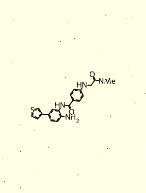 CNC(=O)CNc1ccc(C(=O)Nc2cc(-c3ccsc3)ccc2N)cc1